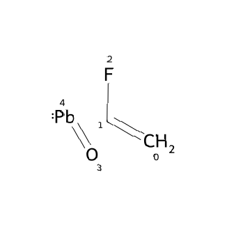 C=CF.[O]=[Pb]